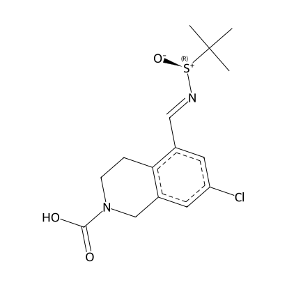 CC(C)(C)[S@+]([O-])N=Cc1cc(Cl)cc2c1CCN(C(=O)O)C2